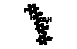 O=C(O)/C(=C\c1ccc(Oc2ccccc2Br)c(F)c1)NC(=O)c1cccc(F)c1